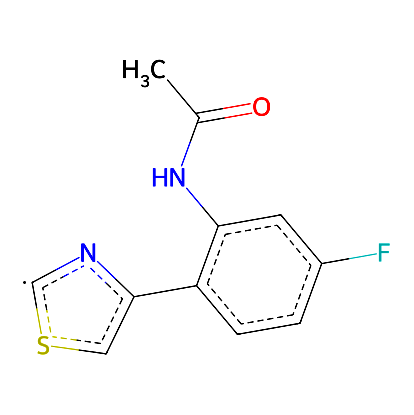 CC(=O)Nc1cc(F)ccc1-c1cs[c]n1